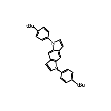 CC(C)(C)c1ccc(-n2ccc3cc4c(ccn4-c4ccc(C(C)(C)C)cc4)cc32)cc1